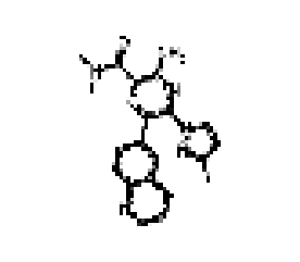 Cc1ccn(-c2nc(N)c(C(=O)N(C)C)nc2-c2ccc3ncccc3c2)n1